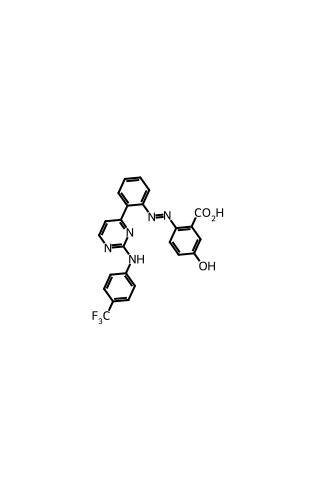 O=C(O)c1cc(O)ccc1N=Nc1ccccc1-c1ccnc(Nc2ccc(C(F)(F)F)cc2)n1